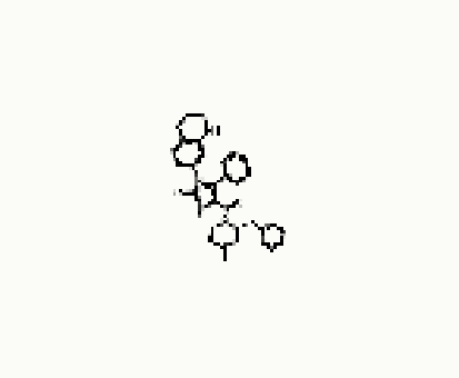 O=C(c1[nH]c(=O)n(-c2ccc3c(c2)NCCC3)c1-c1ccccc1)N1CCNC[C@H]1Cc1ccccc1